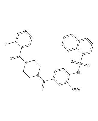 COc1cc(C(=O)N2CCN(C(=O)c3ccncc3Cl)CC2)ccc1NS(=O)(=O)c1cccc2cccnc12